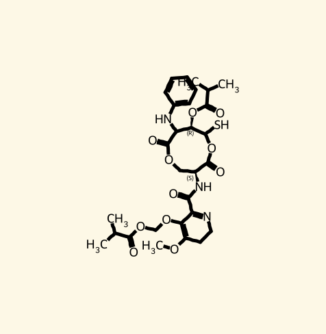 COC1=C(OCOC(=O)C(C)C)C(C(=O)N[C@H]2COC(=O)C(Nc3ccccc3)[C@@H](OC(=O)C(C)C)C(S)OC2=O)=NCC1